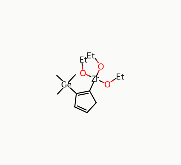 CC[O][Zr]([O]CC)([O]CC)[C]1=[C]([Ge]([CH3])([CH3])[CH3])C=CC1